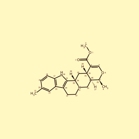 COC(=O)C1=CO[C@@H](C)[C@H]2CN3CCc4c([nH]c5ccc(C)cc45)[C@@H]3C[C@H]12